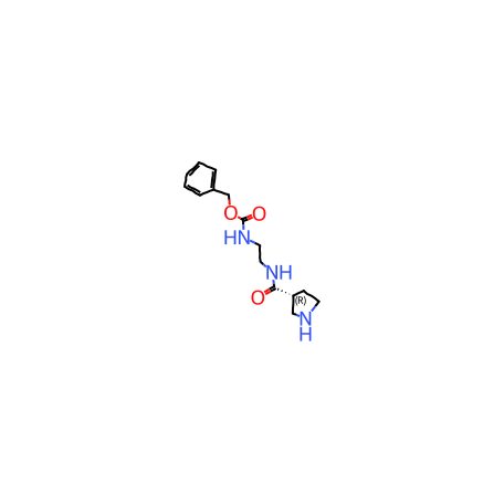 O=C(NCCNC(=O)[C@@H]1CCNC1)OCc1ccccc1